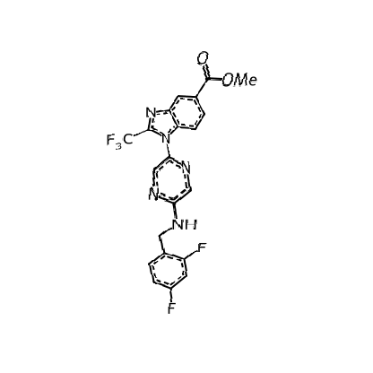 COC(=O)c1ccc2c(c1)nc(C(F)(F)F)n2-c1cnc(NCc2ccc(F)cc2F)cn1